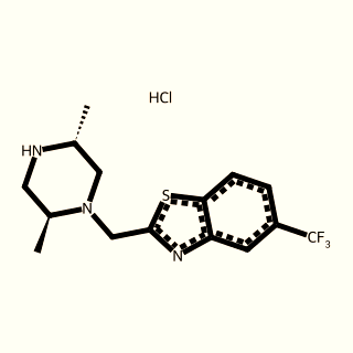 C[C@@H]1CN(Cc2nc3cc(C(F)(F)F)ccc3s2)[C@@H](C)CN1.Cl